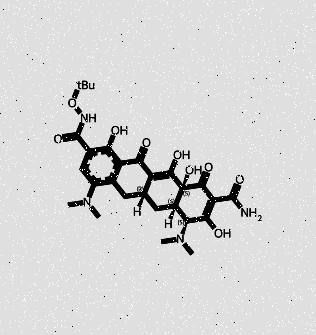 CN(C)c1cc(C(=O)NOC(C)(C)C)c(O)c2c1C[C@H]1C[C@H]3[C@H](N(C)C)C(O)=C(C(N)=O)C(=O)[C@@]3(O)C(O)=C1C2=O